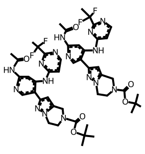 CC(=O)Nc1cc(Nc2ccnc(C(C)(F)F)n2)c(-c2cc3n(n2)CCN(C(=O)OC(C)(C)C)C3)cn1.CC(=O)Nc1cc(Nc2ccnc(C(C)(F)F)n2)c(-c2cc3n(n2)CCN(C(=O)OC(C)(C)C)C3)cn1